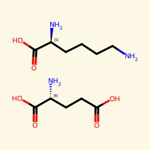 NCCCC[C@H](N)C(=O)O.N[C@H](CCC(=O)O)C(=O)O